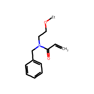 C=CC(=O)N(CCOCC)Cc1ccccc1